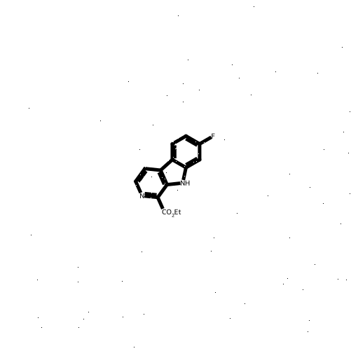 CCOC(=O)c1nccc2c1[nH]c1cc(F)ccc12